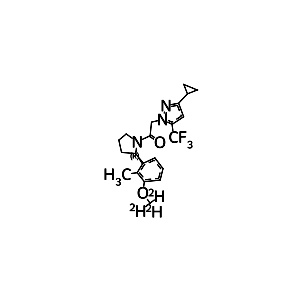 [2H]C([2H])([2H])Oc1cccc([C@H]2CCCN2C(=O)Cn2nc(C3CC3)cc2C(F)(F)F)c1C